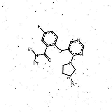 CCN(C(=O)c1cc(F)ccc1Oc1cncnc1N1CC[C@@H](N)C1)C(C)C